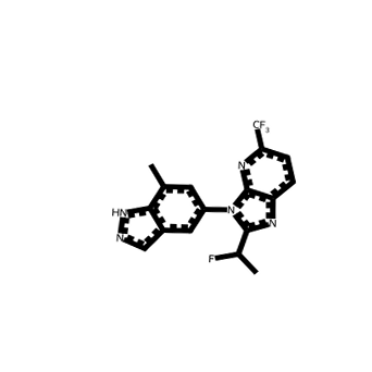 Cc1cc(-n2c(C(C)F)nc3ccc(C(F)(F)F)nc32)cc2cn[nH]c12